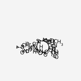 CCn1c(-c2cc(N3CCN4CCOC[C@@H]4C3)cnc2[C@H](C)OC)c2c3cc(ccc31)-c1csc(n1)C[C@H](NC(=O)[C@H](C(C)C)N1CC[C@]3(CCN(C(=O)[C@H]4[C@@H](C5CC5)N4C)C3)C1)C(=O)N1CCC[C@H](N1)C(=O)OCC(C)(C)C2